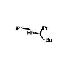 CCCCC(NCC(C)C)C(C)C